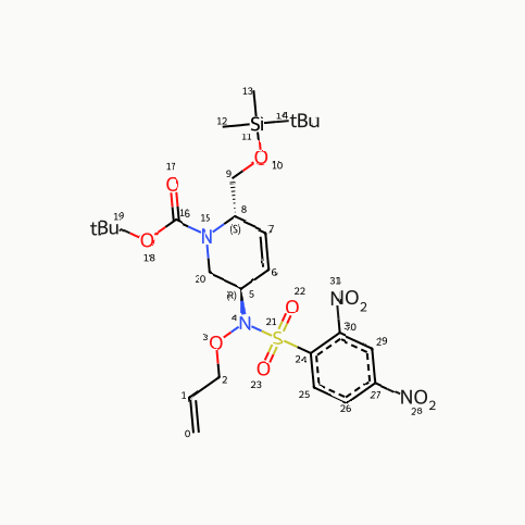 C=CCON([C@@H]1C=C[C@@H](CO[Si](C)(C)C(C)(C)C)N(C(=O)OC(C)(C)C)C1)S(=O)(=O)c1ccc([N+](=O)[O-])cc1[N+](=O)[O-]